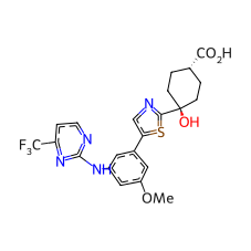 COc1cc(Nc2nccc(C(F)(F)F)n2)cc(-c2cnc([C@]3(O)CC[C@H](C(=O)O)CC3)s2)c1